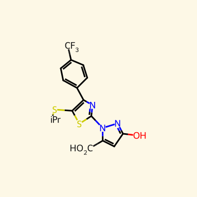 CC(C)Sc1sc(-n2nc(O)cc2C(=O)O)nc1-c1ccc(C(F)(F)F)cc1